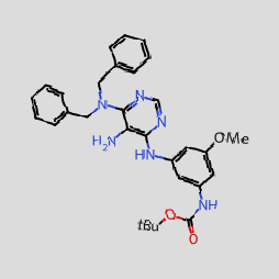 COc1cc(NC(=O)OC(C)(C)C)cc(Nc2ncnc(N(Cc3ccccc3)Cc3ccccc3)c2N)c1